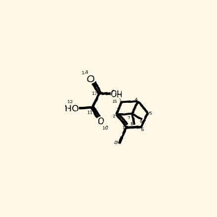 CC1=C2CC(CC1)C2(C)C.O=C(O)C(=O)O